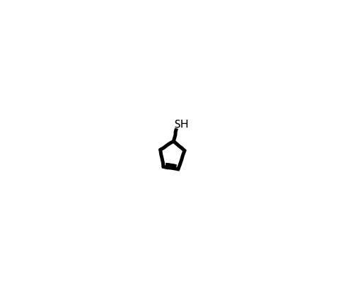 SC1CC=CC1